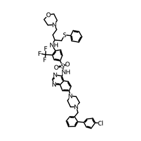 O=S(=O)(Nc1ncnc2cc(N3CCN(Cc4ccccc4-c4ccc(Cl)cc4)CC3)ccc12)c1ccc(NC(CCN2CCOCC2)CSc2ccccc2)c(C(F)(F)F)c1